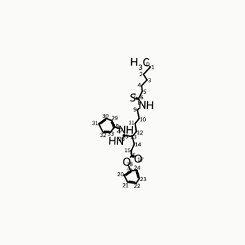 CCCCCCC(=S)NCCCCC(CCC(=O)Oc1ccccc1)C(=N)Nc1ccccc1